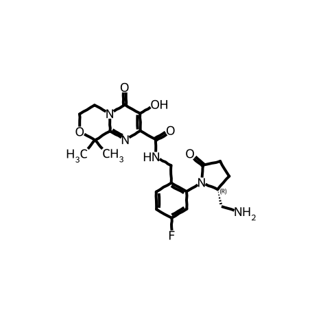 CC1(C)OCCn2c1nc(C(=O)NCc1ccc(F)cc1N1C(=O)CC[C@@H]1CN)c(O)c2=O